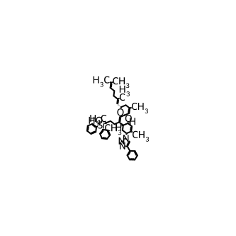 CC(C)=CCC/C(C)=C/[C@@H]1CC(C)=C[C@]2(C=C(CCC(C)(C)[Si](O)(c3ccccc3)c3ccccc3)[C@H]3CC(n4cc(-c5ccccc5)nn4)C(C)=C[C@H]3O2)O1